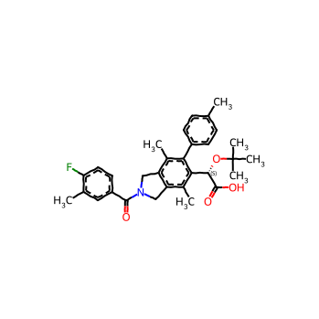 Cc1ccc(-c2c(C)c3c(c(C)c2[C@H](OC(C)(C)C)C(=O)O)CN(C(=O)c2ccc(F)c(C)c2)C3)cc1